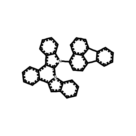 c1ccc2c(c1)-c1cccc3c(-n4c5ccccc5c5c6ccccc6c6cc7ccccc7n6c54)ccc-2c13